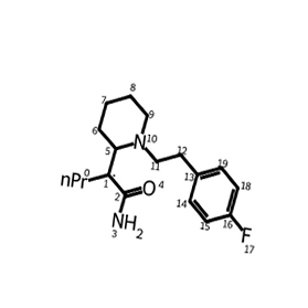 CCC[C](C(N)=O)C1CCCCN1CCc1ccc(F)cc1